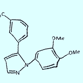 COc1ccc(-n2nccc2-c2cccc(C(F)(F)F)c2)cc1OC